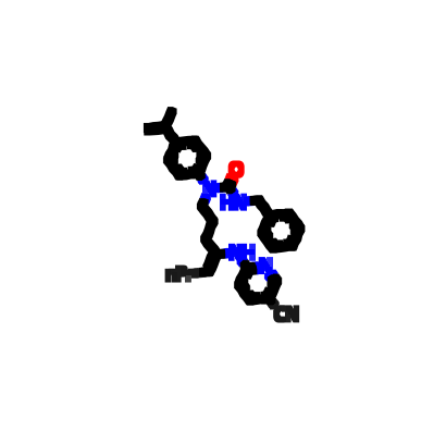 C=C(C)c1ccc(N(CCC/C(=C\CCC)Nc2ccc(C#N)cn2)C(=O)NCc2ccccc2)cc1